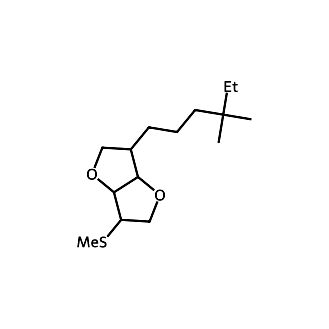 CCC(C)(C)CCCC1COC2C(SC)COC12